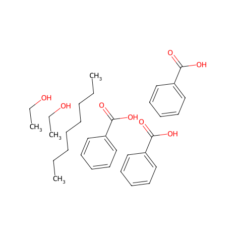 CCCCCCCC.CCO.CCO.O=C(O)c1ccccc1.O=C(O)c1ccccc1.O=C(O)c1ccccc1